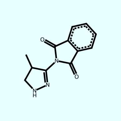 CC1CNN=C1N1C(=O)c2ccccc2C1=O